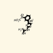 Br.CCN(C(=O)O)c1cccc(-c2csc(NC(=N)N)n2)c1